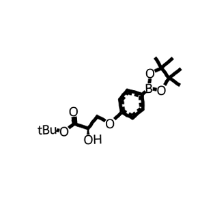 CC(C)(C)OC(=O)[C@H](O)COc1ccc(B2OC(C)(C)C(C)(C)O2)cc1